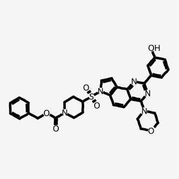 O=C(OCc1ccccc1)N1CCC(S(=O)(=O)n2ccc3c4nc(-c5cccc(O)c5)nc(N5CCOCC5)c4ccc32)CC1